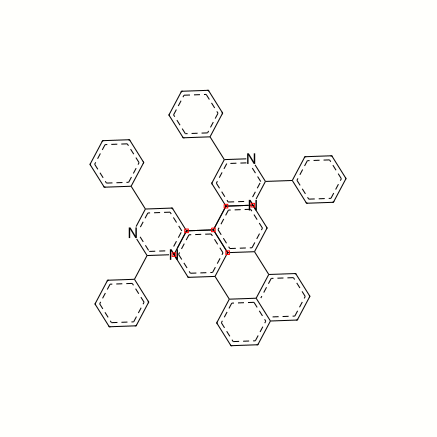 c1ccc(-c2cc(-c3cccc(-c4cccc5cccc(-c6cccc(-c7cc(-c8ccccc8)nc(-c8ccccc8)n7)c6)c45)c3)nc(-c3ccccc3)n2)cc1